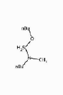 CCCCO[SiH2]N(C)CCCC